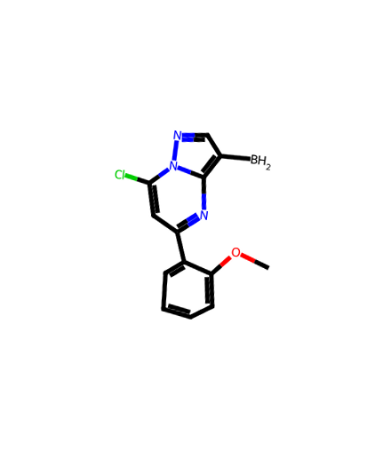 Bc1cnn2c(Cl)cc(-c3ccccc3OC)nc12